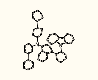 c1ccc(-c2ccc(N(c3cccc(-c4ccccc4)c3)c3ccc(-c4ccccc4-n4c5ccccc5c5ccccc54)c4ccccc34)cc2)cc1